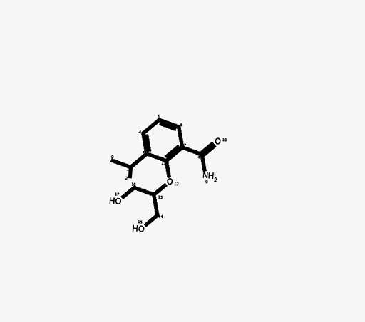 CC(C)c1cccc(C(N)=O)c1OC(CO)CO